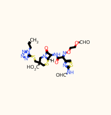 C=CCn1nnnc1SCC1(C(=O)O)CS[C@@H]2C(NC(=O)C(=NOCCOC=O)c3csc(NC=O)n3)C(=O)N2C1